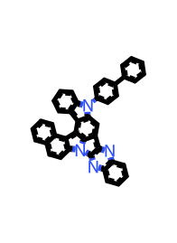 c1ccc(-c2ccc(-n3c4ccccc4c4c5c6c7ccccc7ccc6n6c7nc8ccccc8nc7c(cc43)c56)cc2)cc1